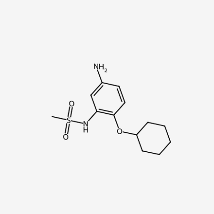 CS(=O)(=O)Nc1cc(N)ccc1OC1CCCCC1